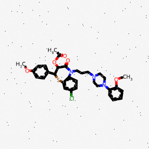 COc1ccc(C2Sc3cc(Cl)ccc3N(CCCN3CCN(c4ccccc4OC)CC3)C(=O)C2OC(C)=O)cc1